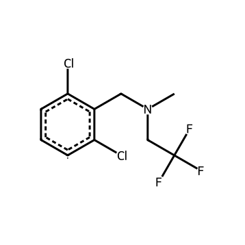 CN(Cc1c(Cl)[c]ccc1Cl)CC(F)(F)F